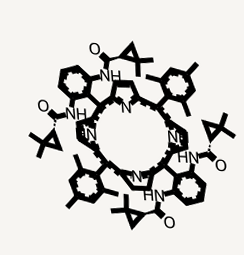 Cc1cc(C)c(-c2c3nc(c(-c4c(NC(=O)[C@H]5CC5(C)C)cccc4NC(=O)[C@@H]4CC4(C)C)c4ccc([nH]4)c(-c4c(C)cc(C)cc4C)c4nc(c(-c5c(NC(=O)[C@H]6CC6(C)C)cccc5NC(=O)[C@@H]5CC5(C)C)c5ccc2[nH]5)CC4)C=C3)c(C)c1